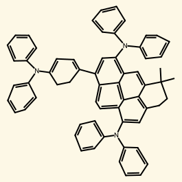 CC1(C)CCc2cc(N(c3ccccc3)c3ccccc3)c3ccc4c(C5=CC=C(N(c6ccccc6)c6ccccc6)CC5)cc(N(c5ccccc5)c5ccccc5)c5cc1c2c3c45